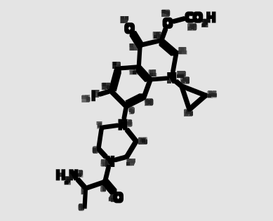 CC(N)C(=O)N1CCN(c2cc3c(cc2F)c(=O)c(OC(=O)O)cn3C2CC2)CC1